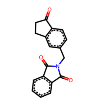 O=C1CCc2cc(CN3C(=O)c4ccccc4C3=O)ccc21